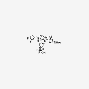 CC(=O)Nc1ccc(-c2nc3cnc(NCc4ccc(F)c(F)c4)nc3n2C[C@@H]2CCCNC2)c(Cl)c1.O=C(O)C(F)(F)F